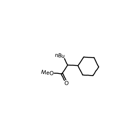 CCCCC(C(=O)OC)C1CCCCC1